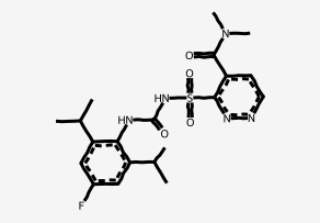 CC(C)c1cc(F)cc(C(C)C)c1NC(=O)NS(=O)(=O)c1nnccc1C(=O)N(C)C